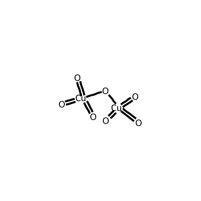 [O]=[Cu](=[O])(=[O])[O][Cu](=[O])(=[O])=[O]